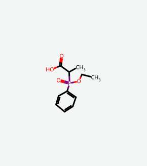 CCOP(=O)(c1ccccc1)C(C)C(=O)O